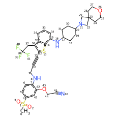 CS(=O)(=O)c1ccc(NCC#Cc2sc3c(NC4CCC(N5CC6(CCOCC6)C5)CC4)cccc3c2CC(F)(F)F)c(OCC#N)c1